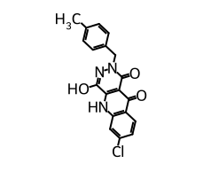 Cc1ccc(Cn2nc(O)c3[nH]c4cc(Cl)ccc4c(=O)c3c2=O)cc1